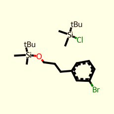 CC(C)(C)[Si](C)(C)Cl.CC(C)(C)[Si](C)(C)OCCCc1cccc(Br)c1